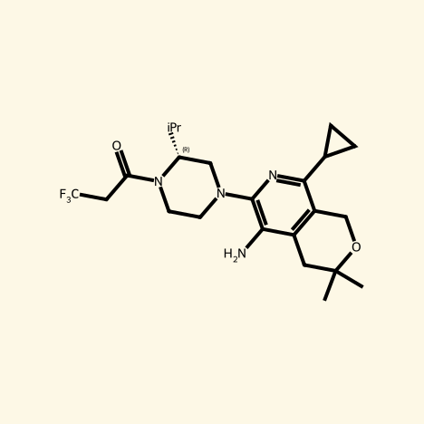 CC(C)[C@@H]1CN(c2nc(C3CC3)c3c(c2N)CC(C)(C)OC3)CCN1C(=O)CC(F)(F)F